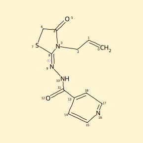 C=CCN1C(=O)CS/C1=N/NC(=O)c1ccncc1